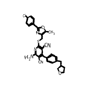 Cc1oc(-c2ccc(Cl)cc2)nc1CSc1nc(N)c(C#N)c(-c2ccc(CC3CCOC3)cc2)c1C#N